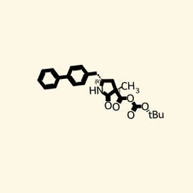 CC(C)(C)OC(=O)OC(=O)[C@]1(C)C[C@@H](Cc2ccc(-c3ccccc3)cc2)NC1=O